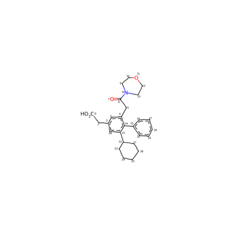 O=C(O)Cc1cc(CC(=O)N2CCOCC2)c(-c2ccccc2)c(C2CCCCC2)c1